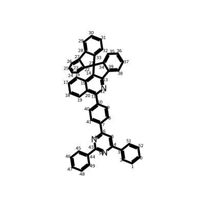 c1ccc(-c2cc(-c3ccc(-c4nc5c(c6ccccc46)C4(c6ccccc6-c6ccccc64)c4ccccc4-5)cc3)nc(-c3ccccc3)n2)cc1